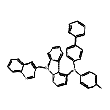 Cc1ccc(N(c2ccc(-c3ccccc3)cc2)c2cccc3c2c2ccccc2n3-c2cnc3ccccc3c2)cc1